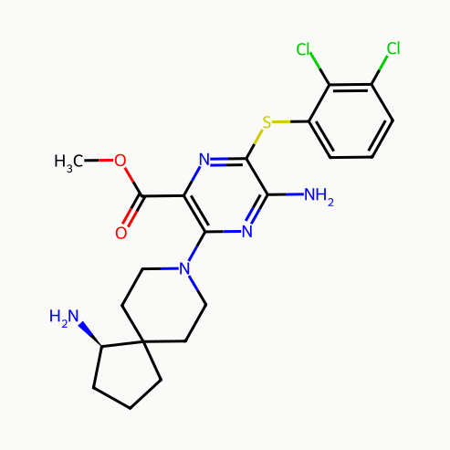 COC(=O)c1nc(Sc2cccc(Cl)c2Cl)c(N)nc1N1CCC2(CCC[C@H]2N)CC1